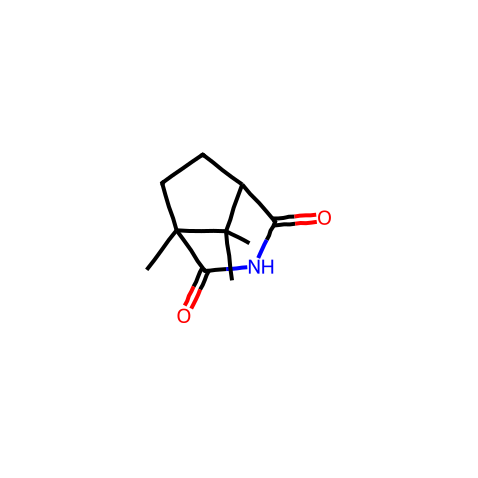 CC12CCC(C(=O)NC1=O)C2(C)C